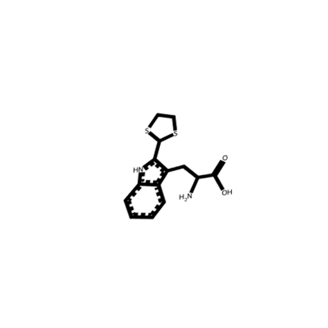 NC(Cc1c(C2SCCS2)[nH]c2ccccc12)C(=O)O